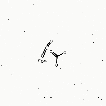 O=C([O-])[O-].O=C=O.[Co+2]